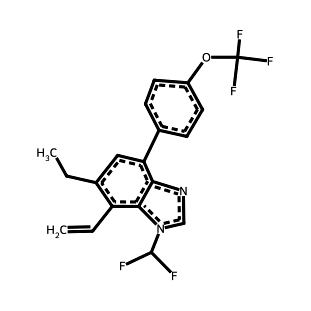 C=Cc1c(CC)cc(-c2ccc(OC(F)(F)F)cc2)c2ncn(C(F)F)c12